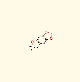 CC1(C)Cc2cc3c(cc2O1)OCO3